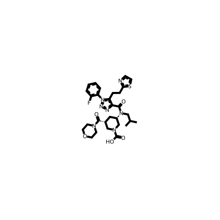 CC(C)CN(C(=O)c1nnn(-c2ccccc2F)c1CCc1nccs1)[C@H]1C[C@@H](C(=O)N2CCOCC2)CN(C(=O)O)C1